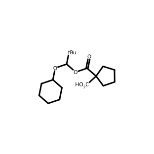 CC(C)(C)C(OC(=O)C1(C(=O)O)CCCC1)OC1CCCCC1